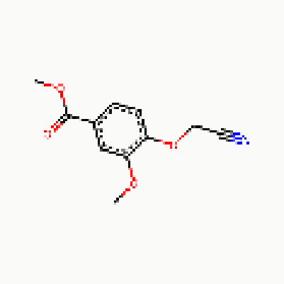 COC(=O)c1ccc(OCC#N)c(OC)c1